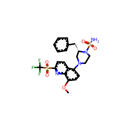 COc1ccc(N2CCN(S(N)(=O)=O)[C@@H](Cc3ccccc3)C2)c2ccc(S(=O)(=O)C(F)(F)F)nc12